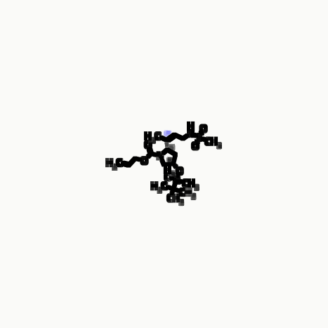 C=CCOC(=O)N1C[C@H](O[Si](C)(C)C(C)(C)C)C[C@H]1/C(C)=C\CNS(C)(=O)=O